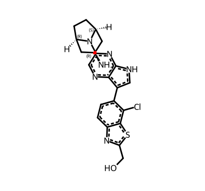 N[C@H]1C[C@H]2CC[C@@H](C1)N2c1cnc2c(-c3ccc4nc(CO)sc4c3Cl)c[nH]c2n1